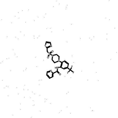 O=C(Nc1cc(C(F)(F)F)ccc1N1CCN(S(=O)(=O)Cc2nccs2)CC1)c1ccccn1